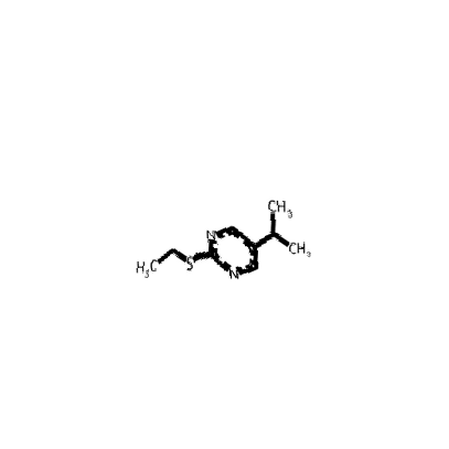 CCSc1ncc(C(C)C)cn1